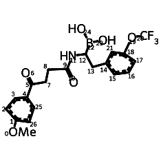 COc1ccc(C(=O)CCC(=O)NC(Cc2cccc(OC(F)(F)F)c2)B(O)O)cc1